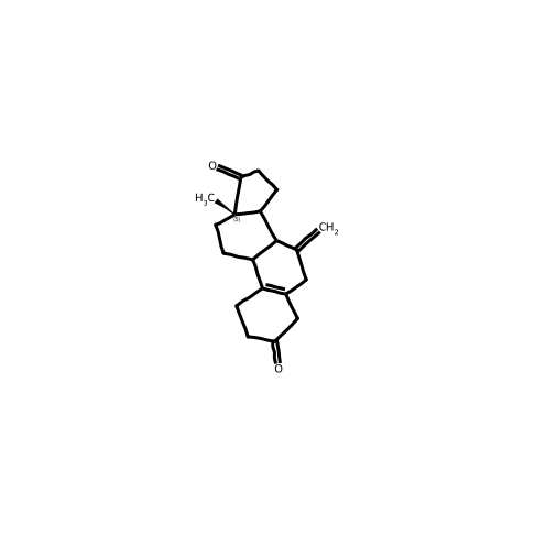 C=C1CC2=C(CCC(=O)C2)C2CC[C@]3(C)C(=O)CCC3C12